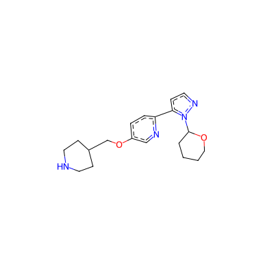 c1cc(-c2ccc(OCC3CCNCC3)cn2)n(C2CCCCO2)n1